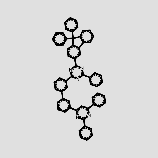 c1ccc(-c2cc(-c3cccc(-c4cccc(-c5nc(-c6ccccc6)nc(-c6ccc7c(c6)-c6ccccc6C7(c6ccccc6)c6ccccc6)n5)c4)c3)nc(-c3ccccc3)n2)cc1